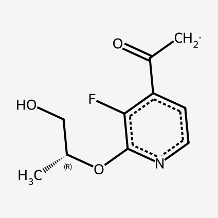 [CH2]C(=O)c1ccnc(O[C@H](C)CO)c1F